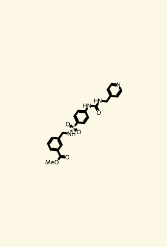 COC(=O)c1cccc(CNS(=O)(=O)c2ccc(NC(=O)NCc3ccncc3)cc2)c1